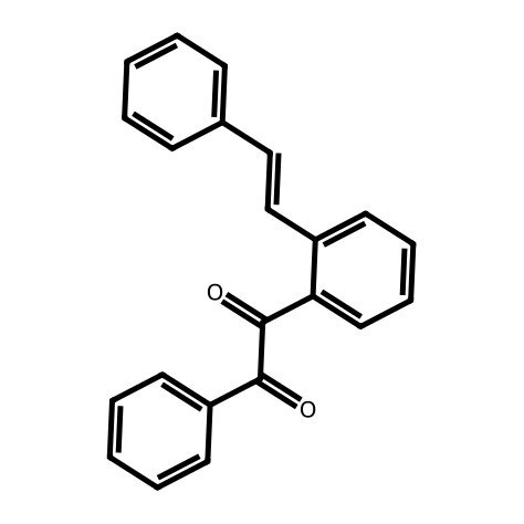 O=C(C(=O)c1ccccc1C=Cc1ccccc1)c1ccccc1